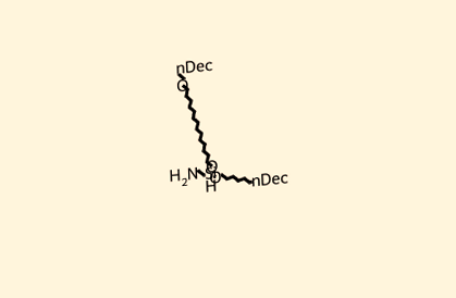 CCCCCCCCCCCCCCCCO[SiH](CCN)OCCCCCCCCCCCCCCOCCCCCCCCCCCC